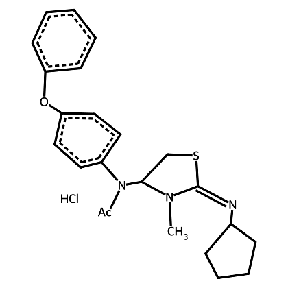 CC(=O)N(c1ccc(Oc2ccccc2)cc1)C1CSC(=NC2CCCC2)N1C.Cl